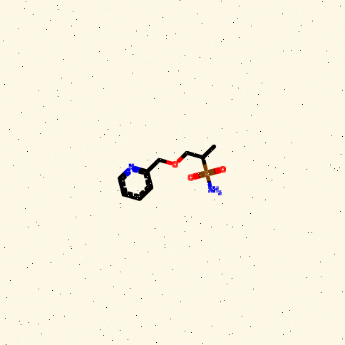 CC(COCc1ccccn1)S(N)(=O)=O